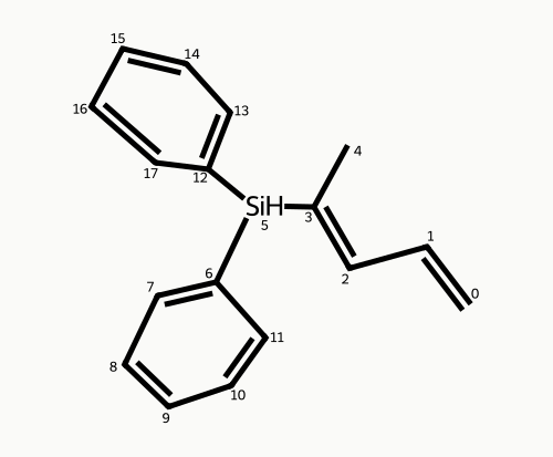 C=CC=C(C)[SiH](c1ccccc1)c1ccccc1